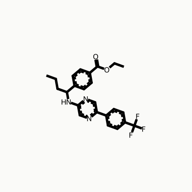 CCCC(Nc1cnc(-c2ccc(C(F)(F)F)cc2)cn1)c1ccc(C(=O)OCC)cc1